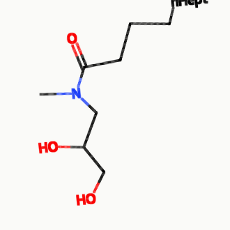 CCCCCCCCCCC(=O)N(C)CC(O)CO